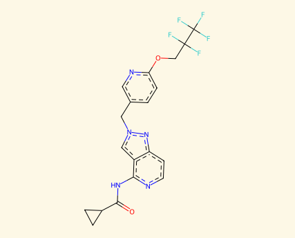 O=C(Nc1nccc2nn(Cc3ccc(OCC(F)(F)C(F)(F)F)nc3)cc12)C1CC1